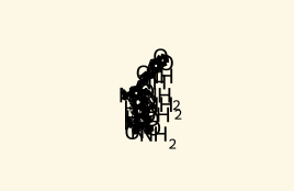 CN(C)c1cc(CNC(=O)Nc2ccc3c(c2)OCO3)c(ON)c2c1C[C@H]1C[C@H]3[C@H](N(C)C)C(N=O)=C(C(N)=O)C(=O)[C@@]3(O)C(ON)=C1C2=O